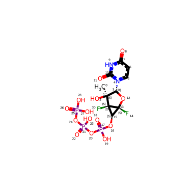 C[C@]1(O)[C@H](n2ccc(=O)[nH]c2=O)O[C@]2(F)[C@@H](OP(=O)(O)OP(=O)(O)OP(=O)(O)O)[C@]12F